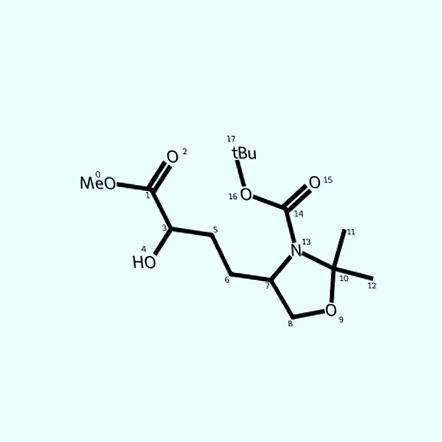 COC(=O)C(O)CCC1COC(C)(C)N1C(=O)OC(C)(C)C